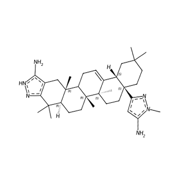 Cn1nc([C@]23CCC(C)(C)C[C@H]2C2=CCC4[C@@]5(C)Cc6c(n[nH]c6N)C(C)(C)[C@@H]5CC[C@@]4(C)[C@]2(C)CC3)cc1N